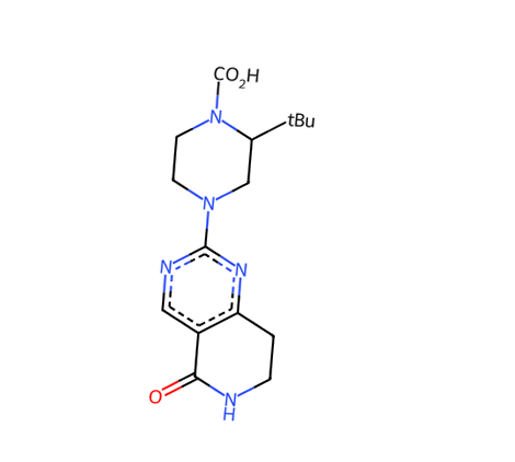 CC(C)(C)C1CN(c2ncc3c(n2)CCNC3=O)CCN1C(=O)O